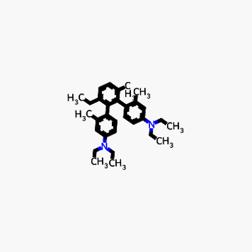 CCc1ccc(C)c(-c2ccc(N(CC)CC)cc2C)c1-c1ccc(N(CC)CC)cc1C